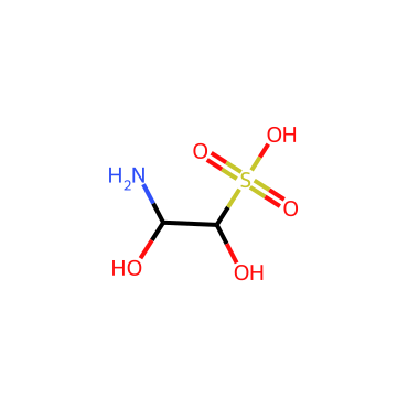 NC(O)C(O)S(=O)(=O)O